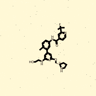 Cc1ccc(NC(=O)c2ccnc(C(C)(C)F)c2)cc1-c1cc(NCCO)nc(OC[C@@H]2CCCN2)c1